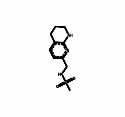 CS(=O)(=O)NCc1ccc2c(n1)NCCC2